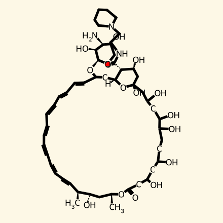 C[C@H]1C[C@H](O)[C@@H](C)/C=C/C=C/C=C/C=C/C=C/C=C/C=C/C(O[C@@H]2OC[C@@H](O)[C@H](N)[C@@H]2O)C[C@@H]2OC(O)(CC(O)CC(O)C(O)CCC(O)CC(O)CC(=O)O1)C[C@H](O)[C@H]2C(=O)NCCN1CCCCC1